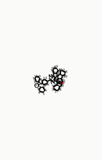 O=P(c1ccccc1)(c1ccccc1)c1ccc(-c2nc3c(c(-c4cccc5ccccc45)n2)C2(c4ccccc4-c4ccccc42)c2ccccc2-3)cc1